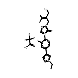 CCn1cc(-c2cnc(-n3cnn(CC(CN)=C(F)F)c3=O)c(F)c2)cn1.O=C(O)C(F)(F)F